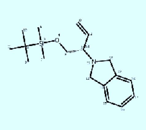 C=C[C@@H](CO[Si](C)(C)C(C)(C)C)N1Cc2ccccc2C1